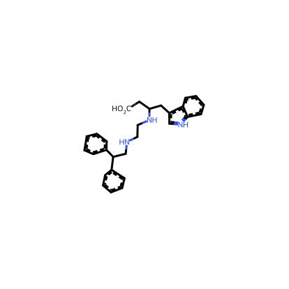 O=C(O)CC(Cc1c[nH]c2ccccc12)NCCNCC(c1ccccc1)c1ccccc1